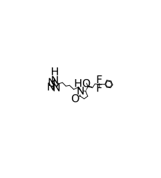 O=C1CC[C@H](C(O)=CCC(F)(F)c2ccccc2)N1CCCCCc1nnn[nH]1